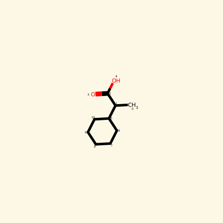 CC(C(=O)O)C1[CH]CCCC1